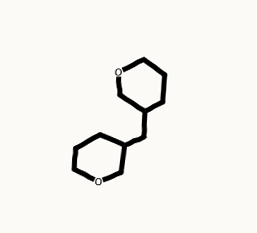 [CH](C1CCCOC1)C1CCCOC1